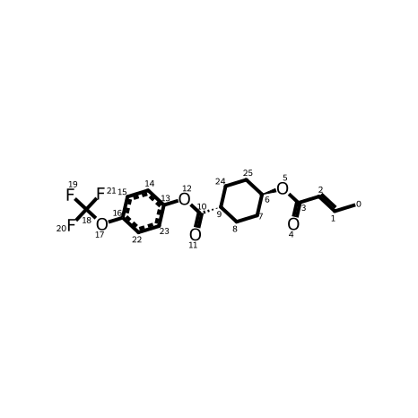 C/C=C/C(=O)O[C@H]1CC[C@H](C(=O)Oc2ccc(OC(F)(F)F)cc2)CC1